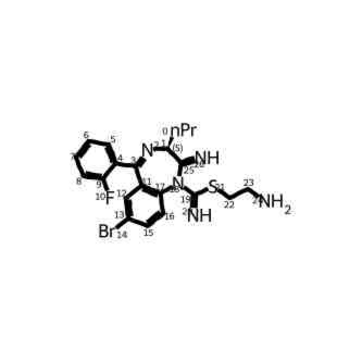 CCC[C@@H]1N=C(c2ccccc2F)c2cc(Br)ccc2N(C(=N)SCCN)C1=N